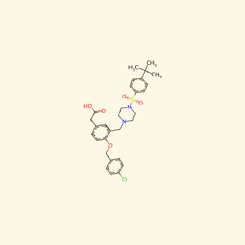 CC(C)(C)c1ccc(S(=O)(=O)N2CCN(Cc3cc(CC(=O)O)ccc3OCc3ccc(Cl)cc3)CC2)cc1